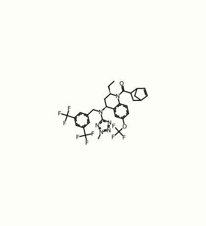 CC[C@@H]1C[C@H](N(Cc2cc(C(F)(F)F)cc(C(F)(F)F)c2)c2nnn(C)n2)c2cc(OC(F)(F)F)ccc2N1C(=O)C1CC2C=CC1C2